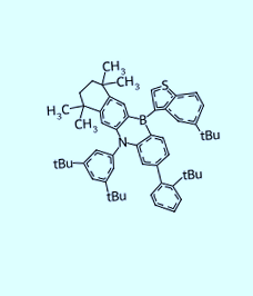 CC(C)(C)c1cc(N2c3cc(-c4ccccc4C(C)(C)C)ccc3B(c3csc4ccc(C(C)(C)C)cc34)c3cc4c(cc32)C(C)(C)CCC4(C)C)cc(C(C)(C)C)c1